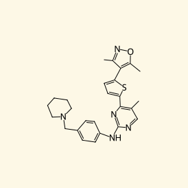 Cc1cnc(Nc2ccc(CN3CCCCC3)cc2)nc1-c1ccc(-c2c(C)noc2C)s1